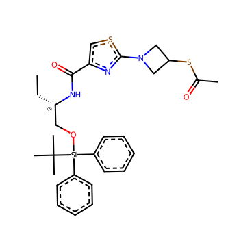 CC[C@@H](CO[Si](c1ccccc1)(c1ccccc1)C(C)(C)C)NC(=O)c1csc(N2CC(SC(C)=O)C2)n1